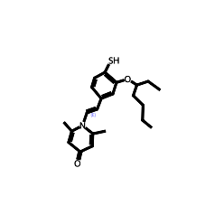 CCCCC(CC)Oc1cc(/C=C/n2c(C)cc(=O)cc2C)ccc1S